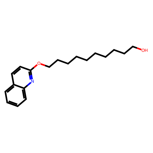 OCCCCCCCCCCOc1ccc2ccccc2n1